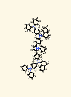 c1ccc(N(c2ccccc2)c2ccc(N(c3ccc(-c4ccc(-c5ccc(N(c6ccc(N(c7ccccc7)c7ccccc7)cc6)c6cccc7ccccc67)cc5)n4-c4ccccc4)cc3)c3cccc4ccccc34)cc2)cc1